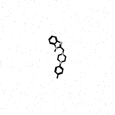 Cc1ccc(N2CCN(Cc3nc4ccccc4n3C)CC2)cc1